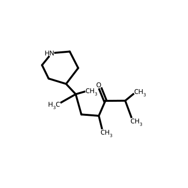 CC(C)C(=O)C(C)CC(C)(C)C1CCNCC1